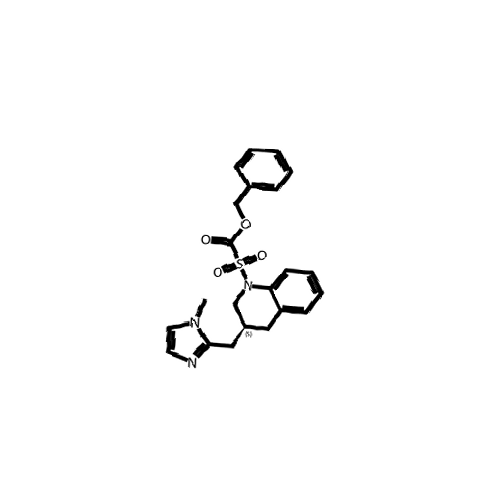 Cn1ccnc1C[C@@H]1Cc2ccccc2N(S(=O)(=O)C(=O)OCc2ccccc2)C1